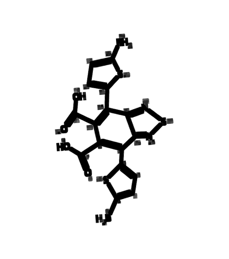 Bc1ccc(-c2c(C(=O)O)c(C(=O)O)c(-c3ccc(B)s3)c3nsnc23)s1